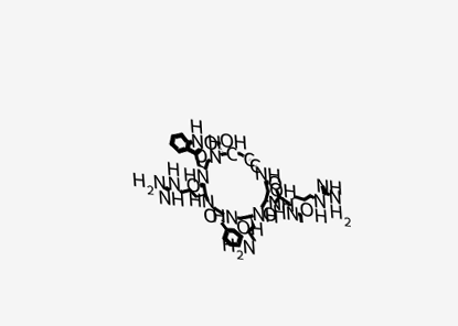 CC(=O)N[C@@H](CCCNC(=N)N)C(O)N[C@H]1CC(=O)NCCCC[C@@H](C(=O)O)NC(=O)[C@H](Cc2c[nH]c3ccccc23)NC(=O)[C@H](CCCNC(=N)N)NC(=O)[C@@H](Cc2ccccc2)NC(O)[C@H](CCCN)NC1=O